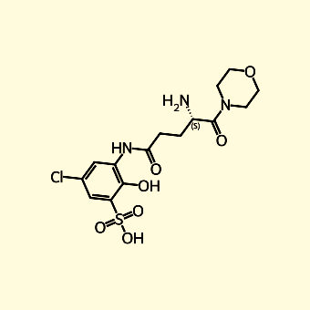 N[C@@H](CCC(=O)Nc1cc(Cl)cc(S(=O)(=O)O)c1O)C(=O)N1CCOCC1